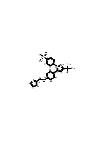 CS(=O)(=O)c1ccc(-n2nc(C(F)(F)F)cc2-c2ccc(OCc3ccco3)cc2)cc1